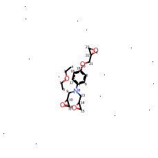 CCOCC.c1cc(N(CC2CO2)CC2CO2)ccc1OCC1CO1